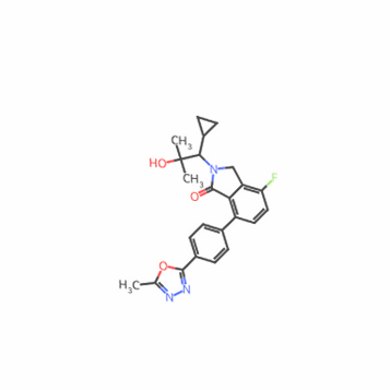 Cc1nnc(-c2ccc(-c3ccc(F)c4c3C(=O)N(C(C3CC3)C(C)(C)O)C4)cc2)o1